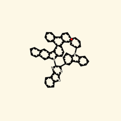 c1ccc(-n2c3ccccc3c3cc(-c4nc5oc6ccccc6c5nc4-n4c5cc6ccccc6cc5c5c6c7ccccc7c7ccccc7c6ccc54)ccc32)cc1